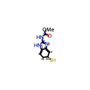 COC(=O)Nc1nc2c([nH]1)=CCC(S)C=2